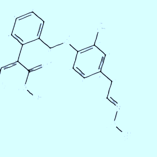 CC=C(C(=O)OC)c1ccccc1COc1ccc(CC=NOC)cc1C